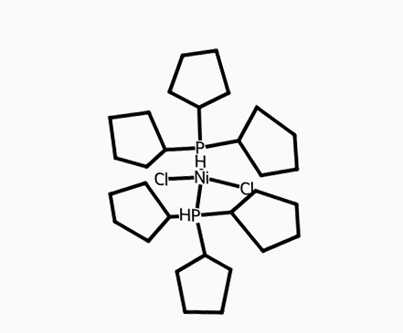 [Cl][Ni]([Cl])([PH](C1CCCC1)(C1CCCC1)C1CCCC1)[PH](C1CCCC1)(C1CCCC1)C1CCCC1